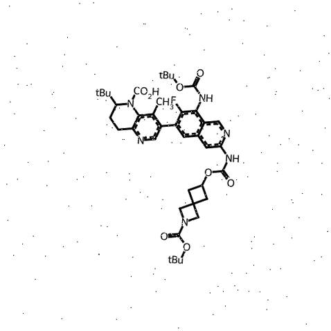 Cc1c(-c2cc3cc(NC(=O)OC4CC5(C4)CN(C(=O)OC(C)(C)C)C5)ncc3c(NC(=O)OC(C)(C)C)c2F)cnc2c1N(C(=O)O)C(C(C)(C)C)CC2